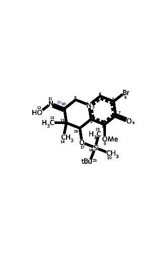 COc1c2n(cc(Br)c1=O)C/C(=N/O)C(C)(C)C2O[Si](C)(C)C(C)(C)C